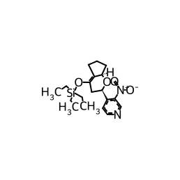 CC[Si](CC)(CC)OC1=C2CCC[C@H]2O[C@@H](c2ccncc2[N+](=O)[O-])C1